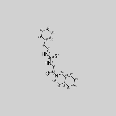 O=C(CNC(=S)NCCC1=CCCCC1)N1CCC2CCCCC2C1